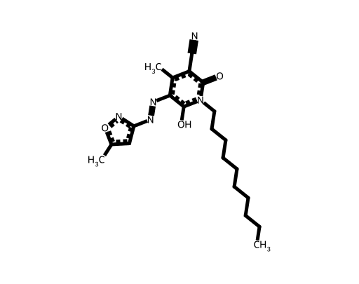 CCCCCCCCCCn1c(O)c(/N=N/c2cc(C)on2)c(C)c(C#N)c1=O